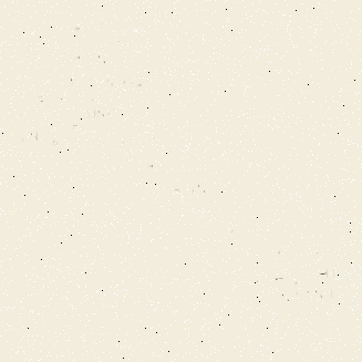 O=C(CCCC[C@@H]1SC[C@@H]2NC(=O)N[C@@H]21)NCCCCCC(=O)N[C@@H](C(=O)N1CCCC1)[C@H](O)c1ccncc1